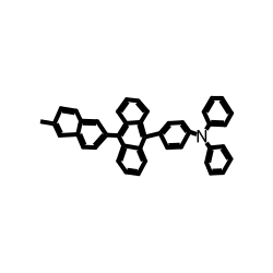 Cc1ccc2cc(-c3c4ccccc4c(-c4ccc(N(c5ccccc5)c5ccccc5)cc4)c4ccccc34)ccc2c1